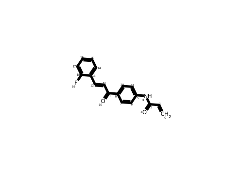 C=CC(=O)Nc1ccc(C(=O)C=Cc2ccccc2F)cc1